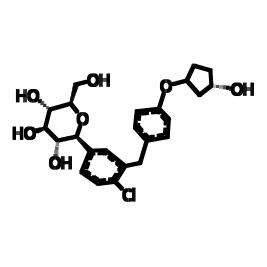 OC[C@H]1O[C@@H](c2ccc(Cl)c(Cc3ccc(OC4CC[C@H](O)C4)cc3)c2)[C@H](O)[C@@H](O)[C@@H]1O